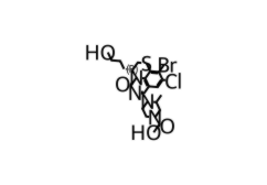 CC1CN(C(=O)O)CCN1c1nc(=O)n2c3c(c(Br)c(Cl)cc13)SC[C@H]2CCCO